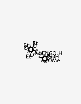 CCOc1cc(OCC)c(C=C[S+]([O-])Cc2ccc(OC)c([C@](N)(CO)C(=O)O)c2)c(OCC)c1